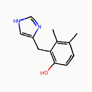 Cc1ccc(O)c(Cc2c[nH]cn2)c1C